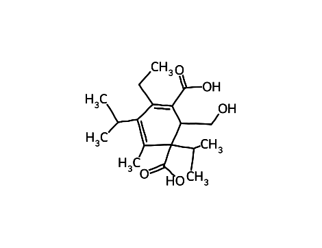 CCC1=C(C(=O)O)C(CO)C(C(=O)O)(C(C)C)C(C)=C1C(C)C